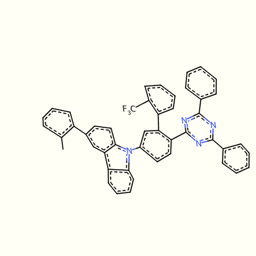 Cc1ccccc1-c1ccc2c(c1)c1ccccc1n2-c1ccc(-c2nc(-c3ccccc3)nc(-c3ccccc3)n2)c(-c2ccccc2C(F)(F)F)c1